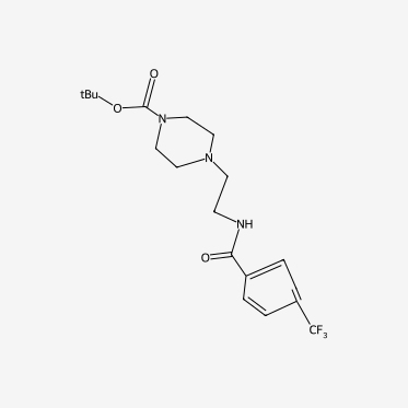 CC(C)(C)OC(=O)N1CCN(CCNC(=O)c2ccc(C(F)(F)F)cc2)CC1